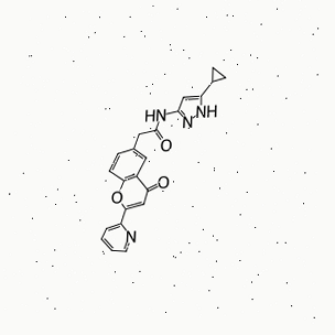 O=C(Cc1ccc2oc(-c3ccccn3)cc(=O)c2c1)Nc1cc(C2CC2)[nH]n1